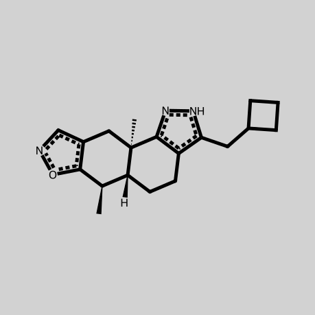 C[C@H]1c2oncc2C[C@@]2(C)c3n[nH]c(CC4CCC4)c3CC[C@H]12